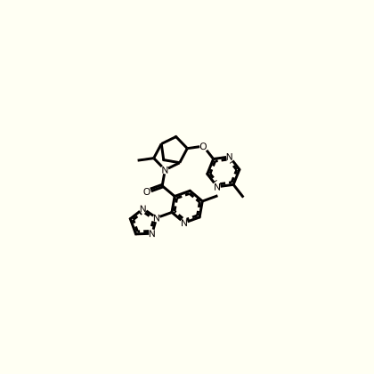 Cc1cnc(-n2nccn2)c(C(=O)N2C(C)C3CC(Oc4cnc(C)cn4)C2C3)c1